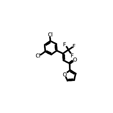 O=C(C=C(c1cc(Cl)cc(Cl)c1)C(F)(F)F)c1ccco1